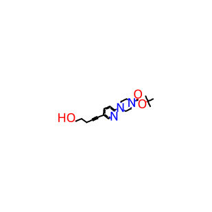 CC(C)(C)OC(=O)N1CCN(c2ccc(C#CCCCO)cn2)CC1